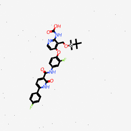 CC(C)(C)[Si](C)(C)OCc1c(Oc2ccc(NC(=O)c3ccc(-c4ccc(F)cc4)[nH]c3=O)cc2F)ccnc1NC(=O)O